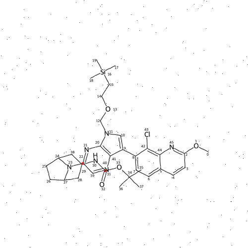 COc1ccc2ccc(-c3cn(COCC[Si](C)(C)C)c4nc(N5C6CCC5CC(NC(=O)OC(C)(C)C)C6)cnc34)c(Cl)c2n1